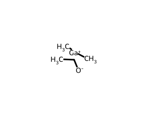 CC[O-].[CH3][Ga+][CH3]